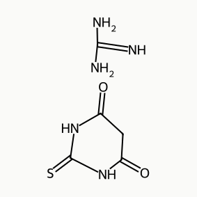 N=C(N)N.O=C1CC(=O)NC(=S)N1